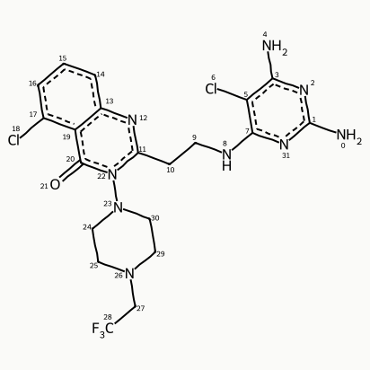 Nc1nc(N)c(Cl)c(NCCc2nc3cccc(Cl)c3c(=O)n2N2CCN(CC(F)(F)F)CC2)n1